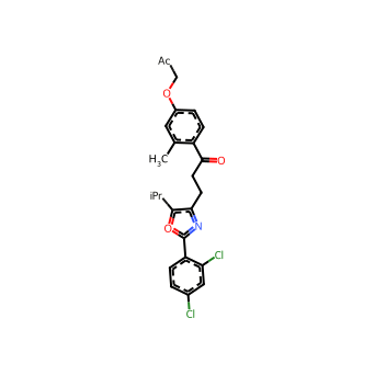 CC(=O)COc1ccc(C(=O)CCc2nc(-c3ccc(Cl)cc3Cl)oc2C(C)C)c(C)c1